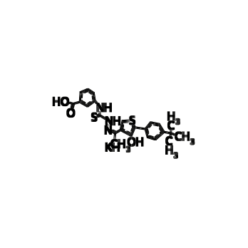 CC(=NNC(=S)Nc1cccc(C(=O)O)c1)c1csc(-c2ccc(C(C)(C)C)cc2)c1O.[KH]